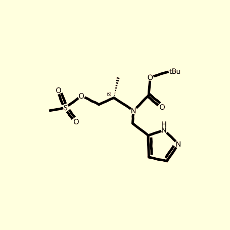 C[C@@H](COS(C)(=O)=O)N(Cc1ccn[nH]1)C(=O)OC(C)(C)C